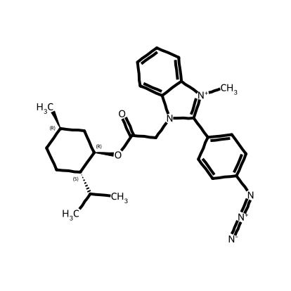 CC(C)[C@@H]1CC[C@@H](C)C[C@H]1OC(=O)Cn1c(-c2ccc(N=[N+]=[N-])cc2)[n+](C)c2ccccc21